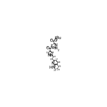 CC(C)(C)OC(=O)[C@@H](N)CNC(=O)c1cnn(CCc2ccc3c(n2)NCCC3)c1